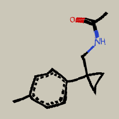 CC(=O)NCC1(c2ccc(C)cc2)CC1